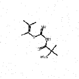 CSC(C)(C)C(=O)NC(=N)SC(C)=C(C)C